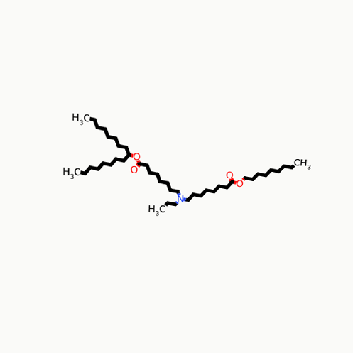 CCCCCCCCCOC(=O)CCCCCCCN(CCC)CCCCCCCC(=O)OC(CCCCCCCC)CCCCCCCC